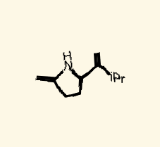 C=C1CCC(C(=C)C(C)C)N1